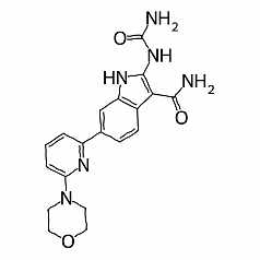 NC(=O)Nc1[nH]c2cc(-c3cccc(N4CCOCC4)n3)ccc2c1C(N)=O